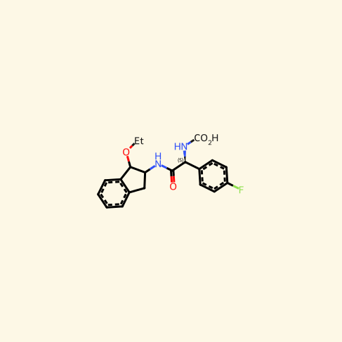 CCOC1c2ccccc2CC1NC(=O)[C@@H](NC(=O)O)c1ccc(F)cc1